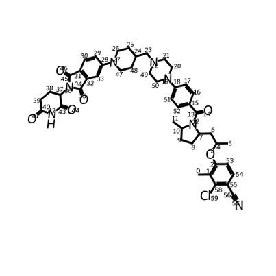 Cc1c(OC(C)CC2CCC(C)N2C(=O)c2ccc(N3CCN(CC4CCN(c5ccc6c(c5)C(=O)N(C5CCC(=O)NC5=O)C6=O)CC4)CC3)cc2)ccc(C#N)c1Cl